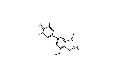 CCc1cc(-c2cc(C)c(=O)n(C)c2)cc(OC)c1CN